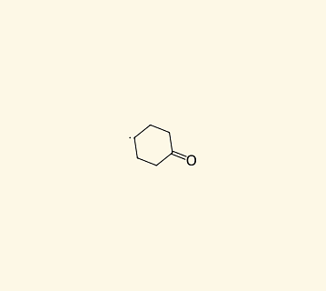 O=C1CC[CH]CC1